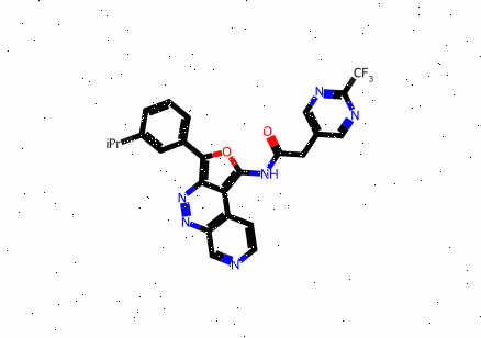 CC(C)c1cccc(-c2oc(NC(=O)Cc3cnc(C(F)(F)F)nc3)c3c2nnc2cnccc23)c1